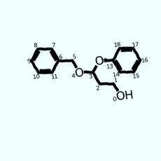 OCCC(OCc1ccccc1)Oc1ccccc1